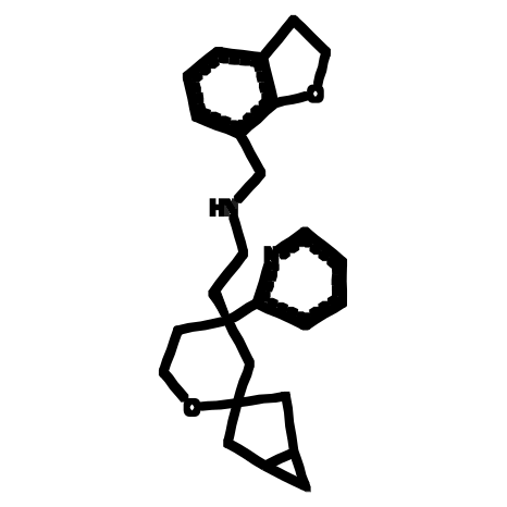 c1ccc([C@@]2(CCNCc3cccc4c3OCC4)CCOC3(CC4CC4C3)C2)nc1